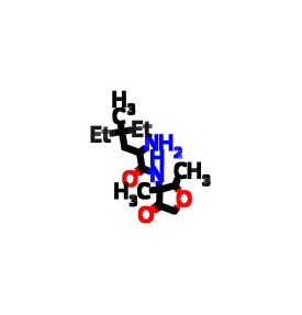 CCC(C)(CC)CC(N)C(=O)NC1(C)C(=O)COC1C